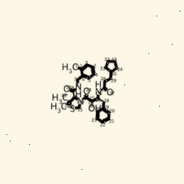 Cc1ccccc1CNC(=O)[C@H]1N(C(=O)[C@@H](O)[C@H](Cc2ccccc2)NC(=O)CCC2CCCC2)CSC1(C)C